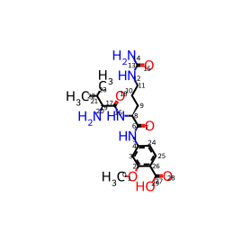 COc1cc(NC(=O)[C@H](CCCNC(N)=O)NC(=O)[C@@H](N)C(C)C)ccc1C(=O)O